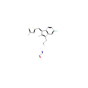 CC1=C(CCON=CC=O)c2cc(F)ccc2C1=Cc1cc(C)cs1